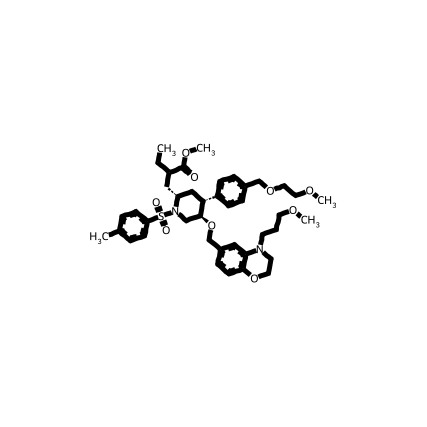 CCC(C[C@@H]1C[C@H](c2ccc(COCCOC)cc2)[C@@H](OCc2ccc3c(c2)N(CCCOC)CCO3)CN1S(=O)(=O)c1ccc(C)cc1)C(=O)OC